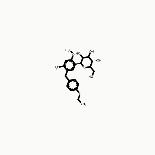 CCOc1ccc(Cc2cc([C@@H]3OC(CO)[C@@H](O)C(O)C3O)c(OC)cc2C)cc1